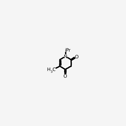 CC1=CN(C(C)C)C(=O)CC1=O